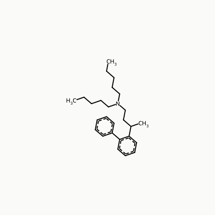 CCCCCN(CCCCC)CCC(C)c1ccccc1-c1ccccc1